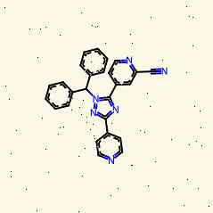 N#Cc1cc(-c2nc(-c3ccncc3)nn2C(c2ccccc2)c2ccccc2)ccn1